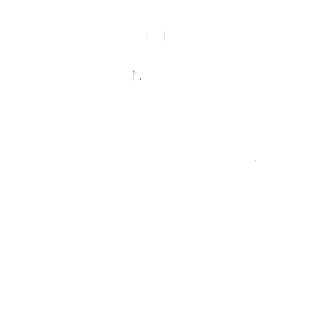 Cn1c2ccccc2c2cc3c(cc21)SC1C=CC=CC31